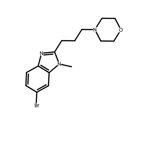 Cn1c(CCCN2CCOCC2)nc2ccc(Br)cc21